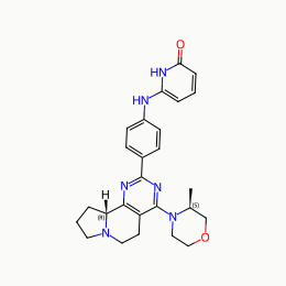 C[C@H]1COCCN1c1nc(-c2ccc(Nc3cccc(=O)[nH]3)cc2)nc2c1CCN1CCC[C@H]21